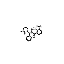 CC1CCCC(C(NC(=O)c2cccc(C(F)(F)F)c2Cl)c2ccccc2)N1C